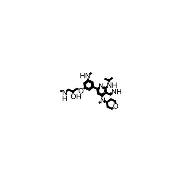 CNCC(O)COc1cc(NC)cc(-c2cc(N(C)C3CCOCC3)c(C=N)c(NC(C)C)n2)c1